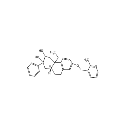 CCC12CC(O)C(O)(c3ccccc3)C[C@H]1CCc1cc(OCc3cccnc3C)ccc12